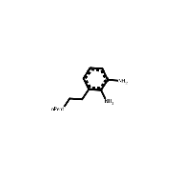 CCCCCCCc1cccc(N)c1N